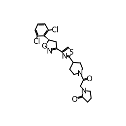 O=C(CN1CCCC1=O)N1CCC(c2nc(C3=NO[C@@H](c4c(Cl)cccc4Cl)C3)cs2)CC1